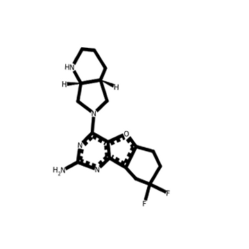 Nc1nc(N2C[C@H]3CCCN[C@H]3C2)c2oc3c(c2n1)CC(F)(F)CC3